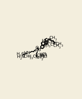 CC[C@H](CC[C@@H](C)[C@H]1CC[C@H]2[C@@H]3CC=C4C[C@@H](OC(=O)N(CCCCNCCC(C)(C)N)CCC(C)(C)N)CC[C@]4(C)[C@H]3CC[C@]12C)C(C)C.Cl.Cl.Cl